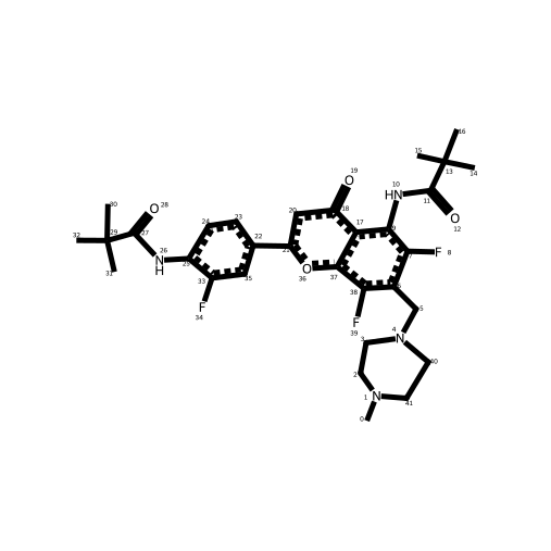 CN1CCN(Cc2c(F)c(NC(=O)C(C)(C)C)c3c(=O)cc(-c4ccc(NC(=O)C(C)(C)C)c(F)c4)oc3c2F)CC1